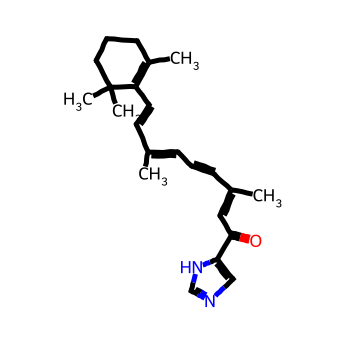 CC(C=CC1=C(C)CCCC1(C)C)=CC=CC(C)=CC(=O)c1cnc[nH]1